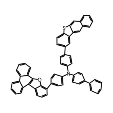 c1ccc(-c2ccc(N(c3ccc(-c4ccc5sc6cc7ccccc7cc6c5c4)cc3)c3ccc(-c4cccc5c4oc4c6ccccc6c6ccccc6c54)cc3)cc2)cc1